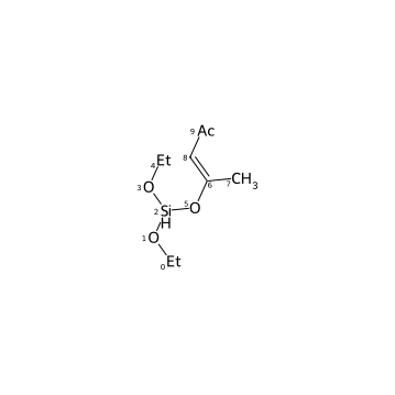 CCO[SiH](OCC)OC(C)=CC(C)=O